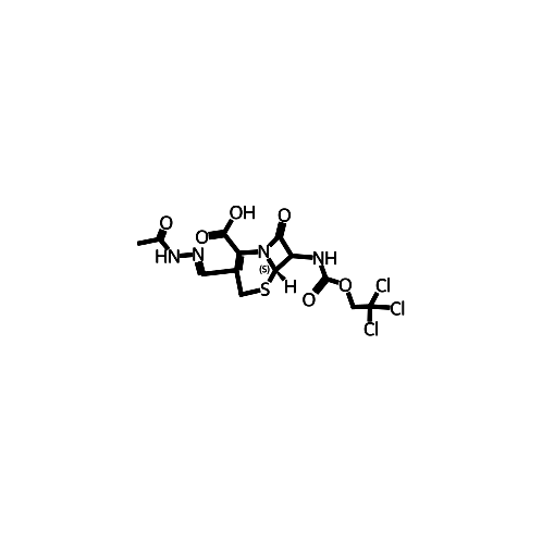 CC(=O)NN=CC1=C(C(=O)O)N2C(=O)C(NC(=O)OCC(Cl)(Cl)Cl)[C@@H]2SC1